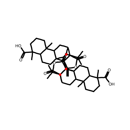 C=C1OC(=O)C2C3CC4C5(C)CCCC(C)(C(=O)O)C5CCC4(C12)C(C1C(C(C)C)C2CC4C5(C)CCCC(C)(C(=O)O)C5CCC14C1C(=O)OC(=O)C21)C3C(C)C